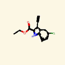 C#Cc1c(C(=O)OCC)[nH]c2ccc(Cl)cc12